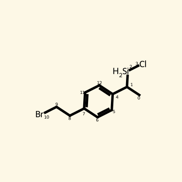 CC([SiH2]Cl)c1ccc(CCBr)cc1